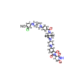 N#Cc1ccc(N2CCC3(CCN(c4ccc(C(=O)N5C[C@@H]6CN(C7CCN(c8ccc9c(c8)C(=O)N(C8CCC(=O)NC8=O)C9=O)CC7)C[C@@H]6C5)cc4)CC3)C2)cc1Cl